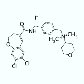 C[N+](C)(Cc1ccc(CNC(=O)C2=Cc3cc(Cl)c(Cl)cc3OCC2)cc1)C1CCOCC1.[I-]